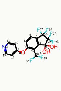 OC1(O)c2c(ccc(Oc3ccncc3)c2C(F)F)C(F)(F)C1(F)F